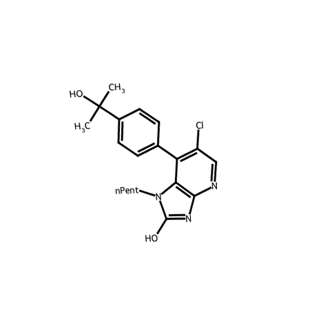 CCCCCn1c(O)nc2ncc(Cl)c(-c3ccc(C(C)(C)O)cc3)c21